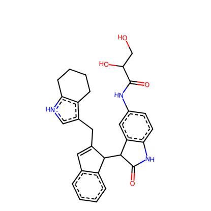 O=C(Nc1ccc2c(c1)C(C1C(Cc3c[nH]c4c3CCCC4)=Cc3ccccc31)C(=O)N2)C(O)CO